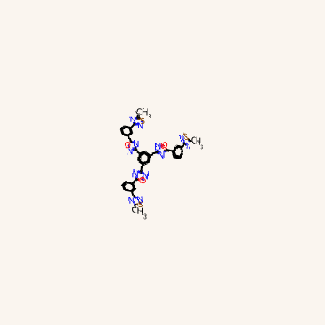 Cc1nc(-c2cccc(-c3nc(-c4cc(-c5noc(-c6cccc(-c7nsc(C)n7)c6)n5)cc(-c5noc(-c6cccc(-c7nsc(C)n7)c6)n5)c4)no3)c2)ns1